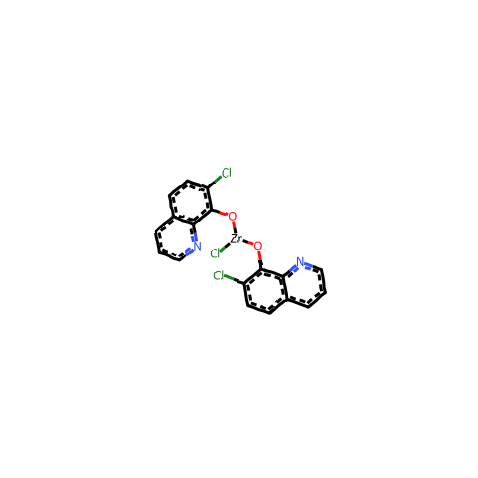 Clc1ccc2cccnc2c1[O][Zr]([Cl])[O]c1c(Cl)ccc2cccnc12